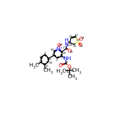 Cc1ccc(-c2cc(NC(=O)OC(C)(C)C)c(C(=O)N[C@@H]3C=CS(=O)(=O)C3)[n+]([O-])c2)cc1C